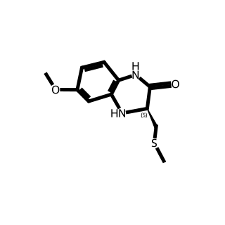 COc1ccc2c(c1)N[C@H](CSC)C(=O)N2